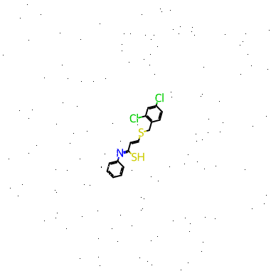 SC(C=CSCc1ccc(Cl)cc1Cl)=Nc1ccccc1